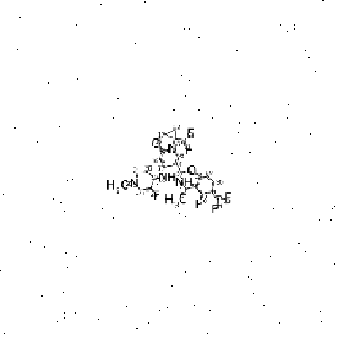 C[C@@H](NC(=O)c1cn(C2(C(F)F)CC2)c(=O)cc1N[C@@H]1CCN(C)C[C@@H]1F)c1cccc(C(F)F)c1F